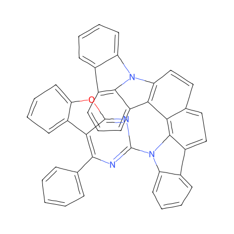 c1ccc(-c2nc(-n3c4ccccc4c4ccc5ccc6c(c7cccc8c9ccccc9n6c87)c5c43)nc3oc4ccccc4c23)cc1